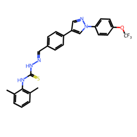 Cc1cccc(C)c1NC(=S)N/N=C/c1ccc(-c2cnn(-c3ccc(OC(F)(F)F)cc3)c2)cc1